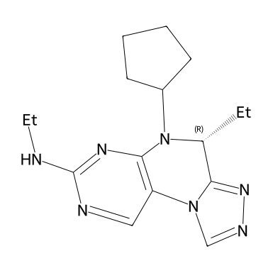 CCNc1ncc2c(n1)N(C1CCCC1)[C@H](CC)c1nncn1-2